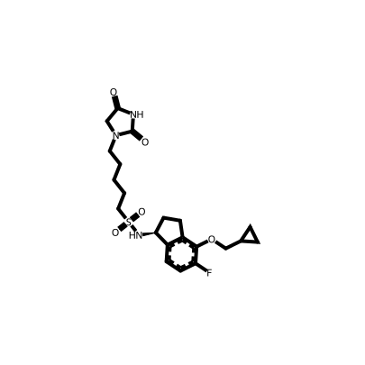 O=C1CN(CCCCCS(=O)(=O)N[C@H]2CCc3c2ccc(F)c3OCC2CC2)C(=O)N1